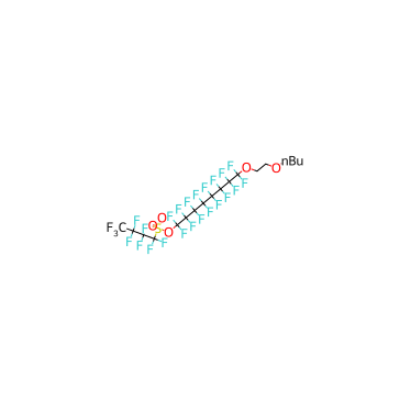 CCCCOCCOC(F)(F)C(F)(F)C(F)(F)C(F)(F)C(F)(F)C(F)(F)C(F)(F)C(F)(F)OS(=O)(=O)C(F)(F)C(F)(F)C(F)(F)C(F)(F)F